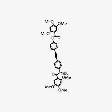 CCCCN(C(=O)c1cc(OC)c(OC)cc1OC)c1ccc(C#Cc2ccc(OC(=O)c3cc(OC)c(OC)cc3OC)cc2)cc1